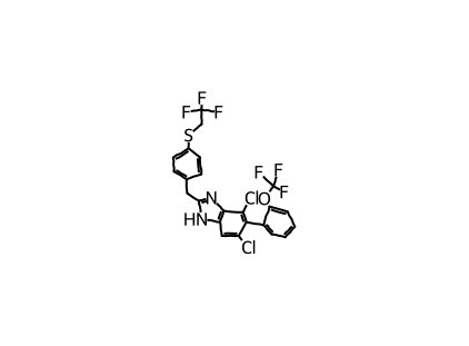 FC(F)(F)CSc1ccc(Cc2nc3c(Cl)c(-c4ccccc4OC(F)(F)F)c(Cl)cc3[nH]2)cc1